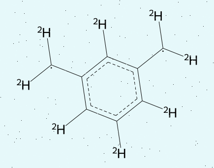 [2H][C]([2H])c1c([2H])c([2H])c([2H])c([C]([2H])[2H])c1[2H]